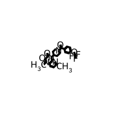 Cc1ccc2c(n1)n(C1CCN(C(=O)c3ccc(OC(F)(F)F)cc3)CC1)c(=O)c(=O)n2C